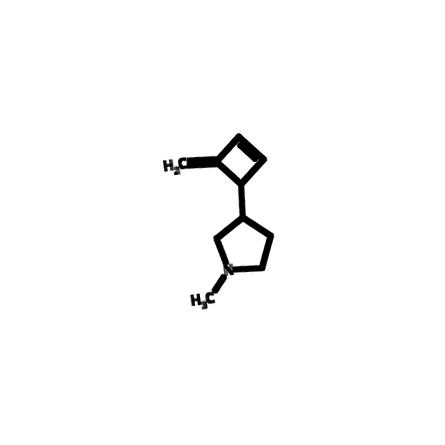 C=C1C=CC1C1CCN(C)C1